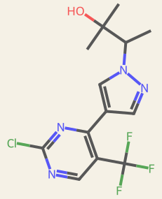 CC(n1cc(-c2nc(Cl)ncc2C(F)(F)F)cn1)C(C)(C)O